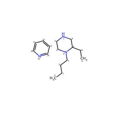 CCCCN1CCNCC1CC.c1ccncc1